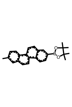 Cc1ccc2c(ccc3c4ccc(B5OC(C)(C)C(C)(C)O5)cc4ccc23)c1